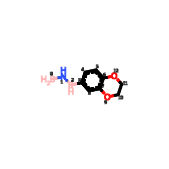 BNBc1ccc2c(c1)OCCO2